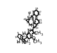 COc1cc(C(=O)N2[C@H]3CC[C@@H]2[C@H](N)C3)cc2nc(-c3cc4ccc(-c5ccccc5C(F)(F)F)nc4n3CC3CC3)c(C)n12